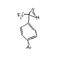 CC(=O)c1ccc(C2(C(F)(F)F)N=N2)cc1